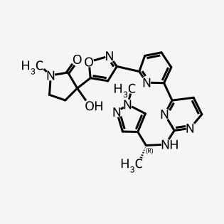 C[C@@H](Nc1nccc(-c2cccc(-c3cc(C4(O)CCN(C)C4=O)on3)n2)n1)c1cnn(C)c1